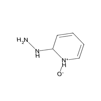 NNC1C=CC=C[NH+]1[O-]